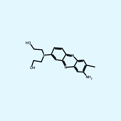 Cc1cc2nc3ccc(N(CCO)CCO)cc3nc2cc1N